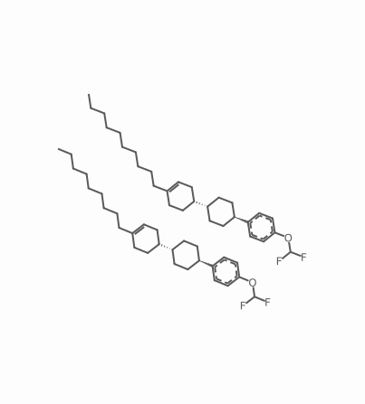 CCCCCCCCCC1=CCC([C@H]2CC[C@H](c3ccc(OC(F)F)cc3)CC2)CC1.CCCCCCCCCCC1=CCC([C@H]2CC[C@H](c3ccc(OC(F)F)cc3)CC2)CC1